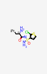 CC(C)C[C@H](N)C(=O)N=S(N)(=O)c1ccsc1Cl